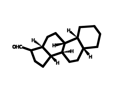 O=CC1CC[C@H]2[C@@H]3CC[C@H]4CCCC[C@@H]4[C@H]3CC[C@H]12